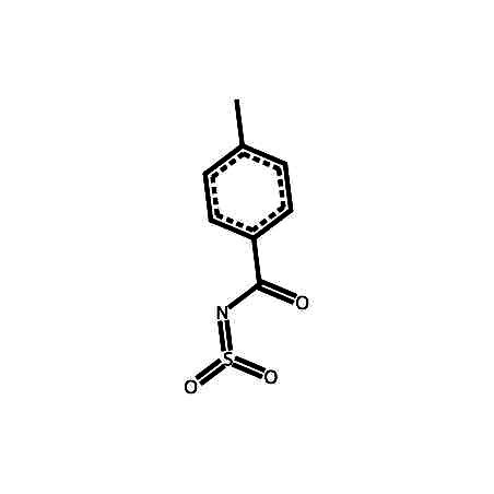 Cc1ccc(C(=O)N=S(=O)=O)cc1